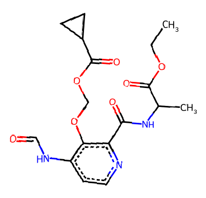 CCOC(=O)C(C)NC(=O)c1nccc(NC=O)c1OCOC(=O)C1CC1